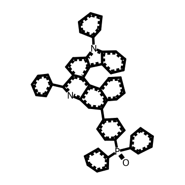 O=P(c1ccccc1)(c1ccccc1)c1ccc(-c2cc3nc(-c4ccccc4)c4ccc5c(c6ccccc6n5-c5ccccc5)c4c3c3ccccc23)cc1